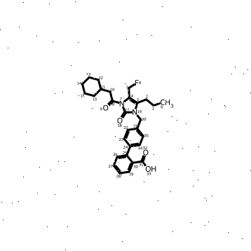 CCCc1c(CF)n(C(=O)CC2CCCCC2)c(=O)n1Cc1ccc(-c2ccccc2C(=O)O)cc1